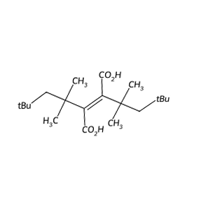 CC(C)(C)CC(C)(C)C(C(=O)O)=C(C(=O)O)C(C)(C)CC(C)(C)C